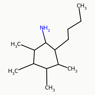 CCCCC1C(C)C(C)C(C)C(C)C1N